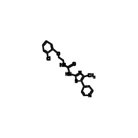 Cc1nc(NC(=O)NCCOc2ccccc2Cl)sc1-c1ccncc1